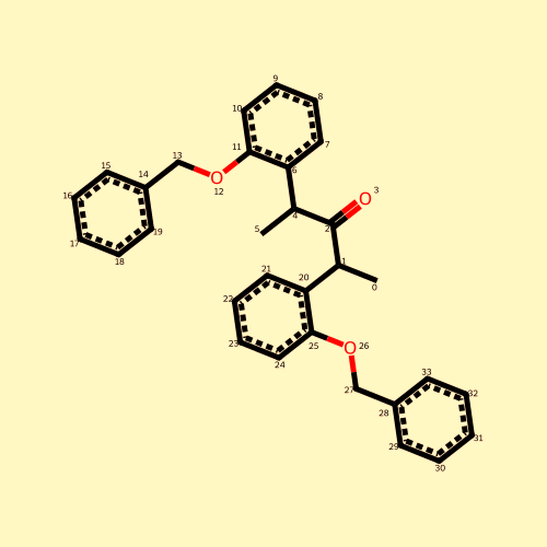 CC(C(=O)C(C)c1ccccc1OCc1ccccc1)c1ccccc1OCc1ccccc1